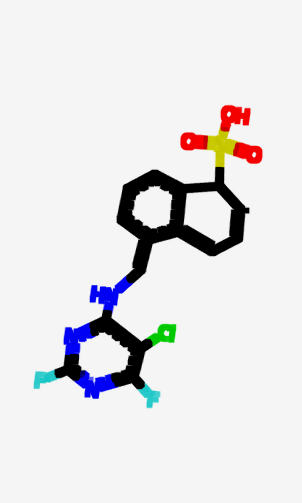 O=S(=O)(O)C1[C]=CC=c2c1cccc2=CNc1nc(F)nc(F)c1Cl